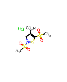 CS(=O)(=O)C1=C(C(=O)O)CN(S(C)(=O)=O)S1.Cl